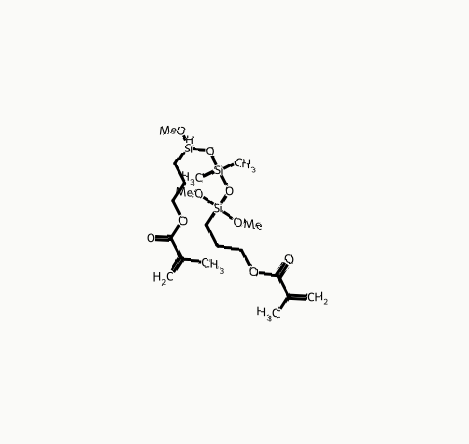 C=C(C)C(=O)OCCC[SiH](OC)O[Si](C)(C)O[Si](CCCOC(=O)C(=C)C)(OC)OC